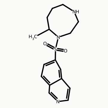 CC1CCCNCCN1S(=O)(=O)c1ccc2cnccc2c1